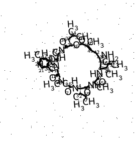 CCC(C)[C@@H]1NC(=O)CN(C)C(=O)[C@@H](Cc2ccc(C)cc2)N(C)C(=O)[C@H](C)NC(=O)[C@@H](CC(C)C)OC(=O)/C(C)=C/C[C@H](N)[C@H](C)[C@@H]([C@@H](C)CC)NC(=O)[C@@H](C)NC1=O